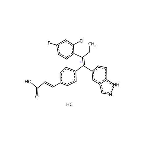 CC/C(=C(/c1ccc(C=CC(=O)O)cc1)c1ccc2[nH]ncc2c1)c1ccc(F)cc1Cl.Cl